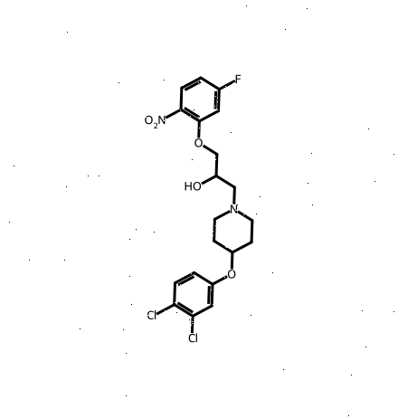 O=[N+]([O-])c1ccc(F)cc1OCC(O)CN1CCC(Oc2ccc(Cl)c(Cl)c2)CC1